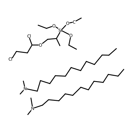 CCCCCCCCCCCCN(C)C.CCCCCCCCCCCCN(C)C.CCO[Si](OCC)(OCC)C(C)COC(Cl)CCCl